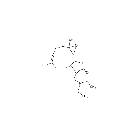 CCN(CC)CC1C(=O)OC2C1CC/C(C)=C\CCC1(C)OC21